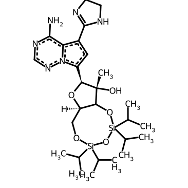 CC(C)[Si]1(C(C)C)OC[C@H]2O[C@@H](c3cc(C4=NCCN4)c4c(N)ncnn34)[C@](C)(O)C2O[Si](C(C)C)(C(C)C)O1